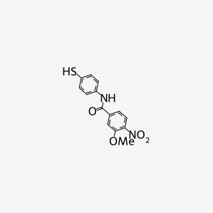 COc1cc(C(=O)Nc2ccc(S)cc2)ccc1[N+](=O)[O-]